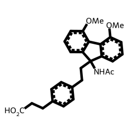 COc1cccc2c1-c1c(OC)cccc1C2(CCc1ccc(CCC(=O)O)cc1)NC(C)=O